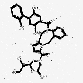 COc1cc(-c2ccccc2C(F)(F)F)c(OC)cc1C(=O)N1Cc2ccc(C(=O)N(CCO)CC(O)C(O)CO)n2Cc2ccccc21